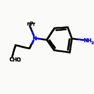 CCCN(CCC=O)c1ccc(N)cc1